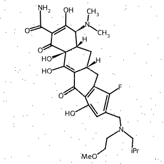 COCCN(Cc1cc(O)c2c(c1F)C[C@H]1C[C@H]3[C@H](N(C)C)C(O)=C(C(N)=O)C(=O)[C@@]3(O)C(O)=C1C2=O)CC(C)C